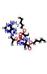 CCCCCOC(=O)C(C)NP(=O)(COC(C)Cn1cnc2c(N)ncnc21)NC(C)(C)C(=O)OCCCCC